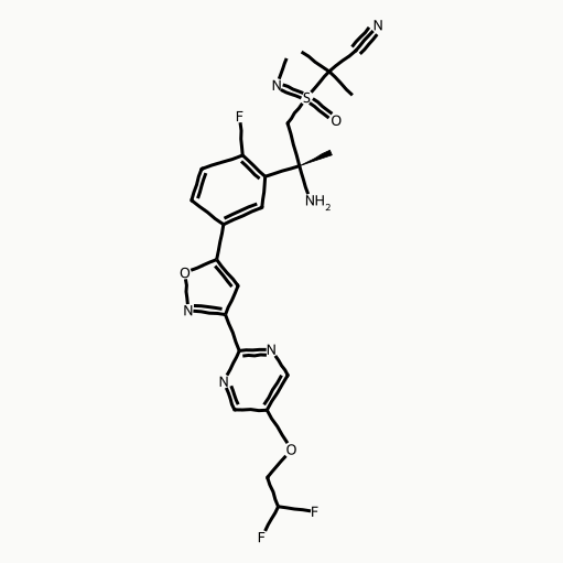 CN=S(=O)(C[C@](C)(N)c1cc(-c2cc(-c3ncc(OCC(F)F)cn3)no2)ccc1F)C(C)(C)C#N